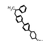 C[C@H](Cc1ccc(-c2ccc(C3CCC(O)CC3)cc2)cc1)c1ccccc1